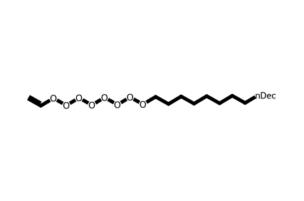 C=COOOOOOOOCCCCCCCCCCCCCCCCCC